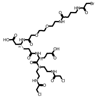 O=C(O)CC[C@H](NC(=O)CC[C@H](CC(=O)O)NC(=O)COCCOCCNC(=O)CCCNC(=O)CBr)C(=O)N(CCNC(=O)CCl)CCNC(=O)CCl